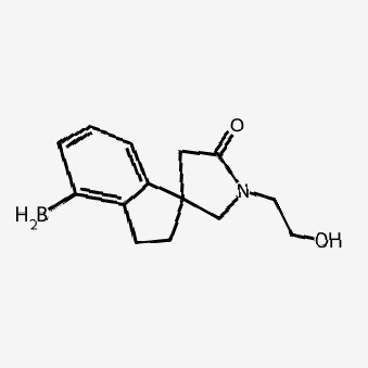 Bc1cccc2c1CCC21CC(=O)N(CCO)C1